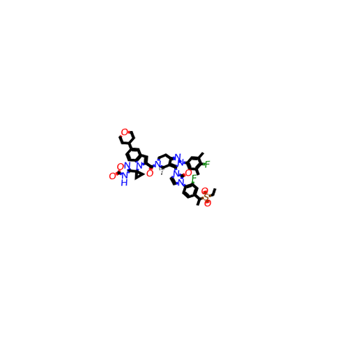 CCS(=O)(=O)C(C)c1ccc(-n2ccn(-c3c4c(nn3-c3cc(C)c(F)c(C)c3)CCN(C(=O)c3cc5cc(C6CCOCC6)ccc5n3C3(c5noc(=O)[nH]5)CC3)[C@H]4C)c2=O)c(F)c1